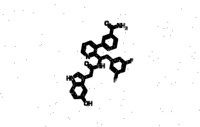 NC(=O)c1cccc(-c2cccnc2C(Cc2cc(F)cc(F)c2)NC(=O)Cc2c[nH]c3ccc(O)cc23)c1